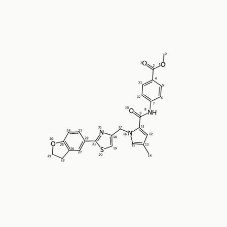 COC(=O)c1ccc(NC(=O)c2cc(C)cn2Cc2csc(-c3ccc4c(c3)CCO4)n2)cc1